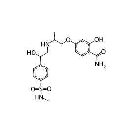 CNS(=O)(=O)c1ccc(C(O)CNC(C)COc2ccc(C(N)=O)c(O)c2)cc1